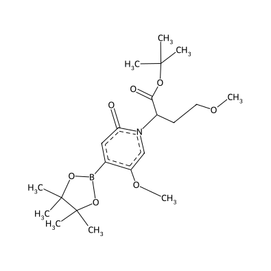 COCCC(C(=O)OC(C)(C)C)n1cc(OC)c(B2OC(C)(C)C(C)(C)O2)cc1=O